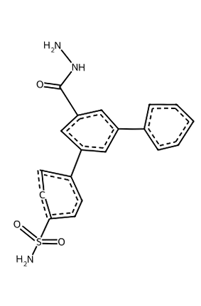 NNC(=O)c1cc(-c2ccccc2)cc(-c2ccc(S(N)(=O)=O)cc2)c1